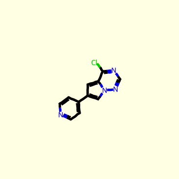 Clc1ncnn2cc(-c3ccncc3)cc12